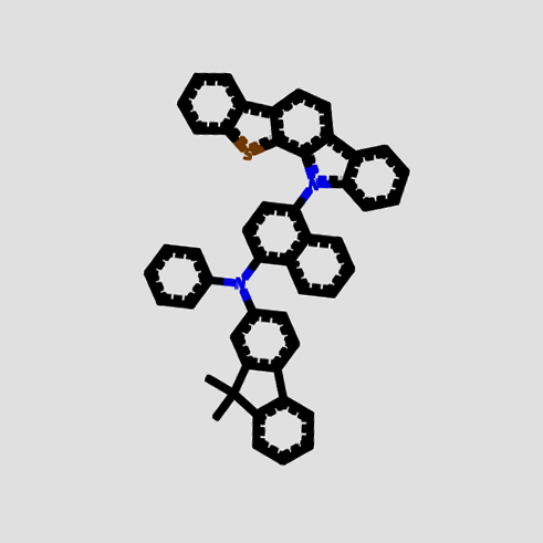 CC1(C)c2ccccc2-c2ccc(N(c3ccccc3)c3ccc(-n4c5ccccc5c5ccc6c7ccccc7sc6c54)c4ccccc34)cc21